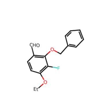 CCOc1ccc(C=O)c(OCc2ccccc2)c1F